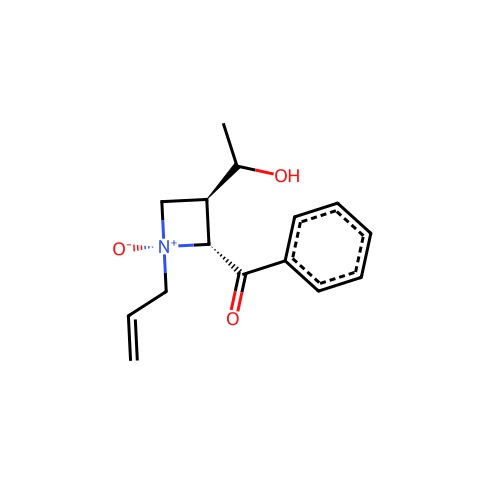 C=CC[N@@+]1([O-])C[C@@H](C(C)O)[C@@H]1C(=O)c1ccccc1